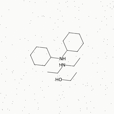 C1CCC(NC2CCCCC2)CC1.CCNCC.CCO